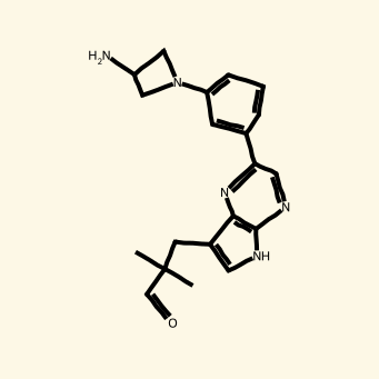 CC(C)(C=O)Cc1c[nH]c2ncc(-c3cccc(N4CC(N)C4)c3)nc12